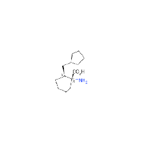 N[C@]1(C(=O)O)CCCC[C@H]1CC1CCCC1